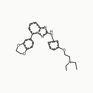 CCN(CC)CCOc1cccc(Nc2nc3cccc(-c4ccc5c(c4)OCCO5)n3n2)c1